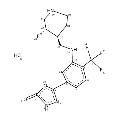 Cl.O=c1[nH]nc(-c2ccc(C(F)(F)F)c(NC[C@@H]3CCNC[C@H]3F)c2)o1